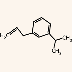 C=CCc1cccc(C(C)C)c1